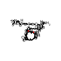 COc1cc2cc(c1Cl)N(C)C(=O)C[C@H](OC(=O)[C@H](C)N(C)C(=O)CCCCC(=O)NNC(=O)[C@H](C)NC(=O)[C@H](CC(N)=O)NC(=O)CCOCCOCCOCCOCCNC(=O)c1ccc3nc(CSC)c(CSC)nc3c1)[C@@]1(C)CC(C)(O1)[C@@H]1C[C@@](O)(NC(=O)O1)[C@H](OC)/C=C/C=C(\C)C2